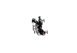 CSCCNc1nc(SCCC(F)(F)F)nc2c1ncn2[C@@H]1OC(COP(=O)(O)OP(=O)(O)C(C)(Cl)Cl)C(O)[C@H]1O